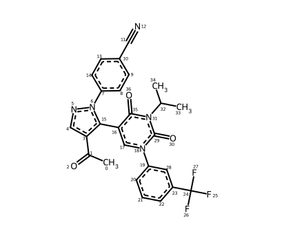 CC(=O)c1cnn(-c2ccc(C#N)cc2)c1-c1cn(-c2cccc(C(F)(F)F)c2)c(=O)n(C(C)C)c1=O